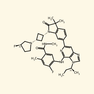 CC[C@H](C)n1cnc2cc(-c3ccc4c(c3)N([C@H]3C[C@@H](N5CC[C@@H](F)C5)C3)C(=O)C4(C)C)nc(Nc3cc(C(=O)NC)c(C)cc3F)c21